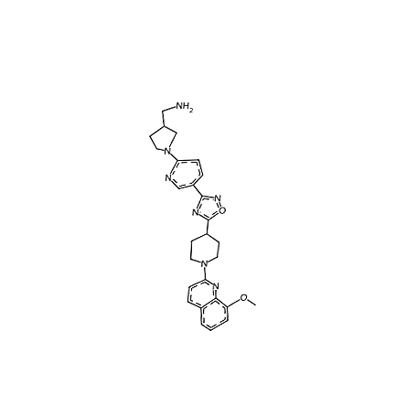 COc1cccc2ccc(N3CCC(c4nc(-c5ccc(N6CCC(CN)C6)nc5)no4)CC3)nc12